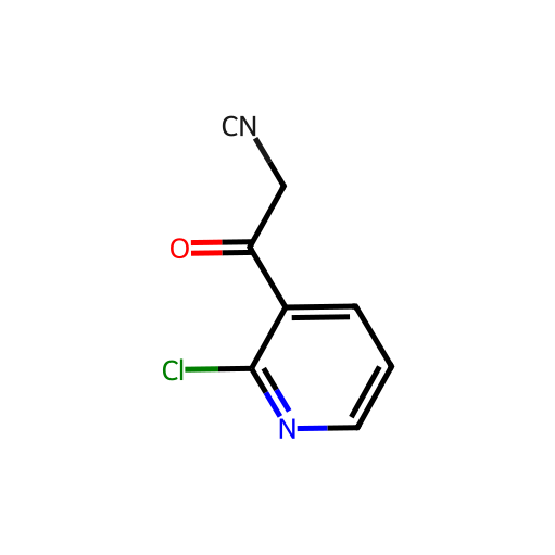 [C-]#[N+]CC(=O)c1cccnc1Cl